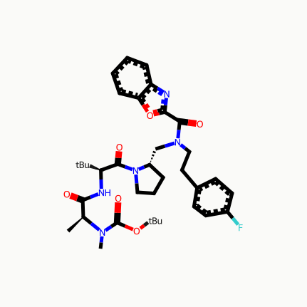 C[C@@H](C(=O)N[C@H](C(=O)N1CCC[C@H]1CN(CCc1ccc(F)cc1)C(=O)c1nc2ccccc2o1)C(C)(C)C)N(C)C(=O)OC(C)(C)C